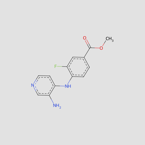 COC(=O)c1ccc(Nc2ccncc2N)c(F)c1